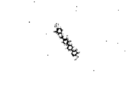 CCOc1ccc(OC(=O)c2ccc(C3CCC(c4ccc(OCC)c(F)c4F)CC3)c(F)c2F)c(F)c1F